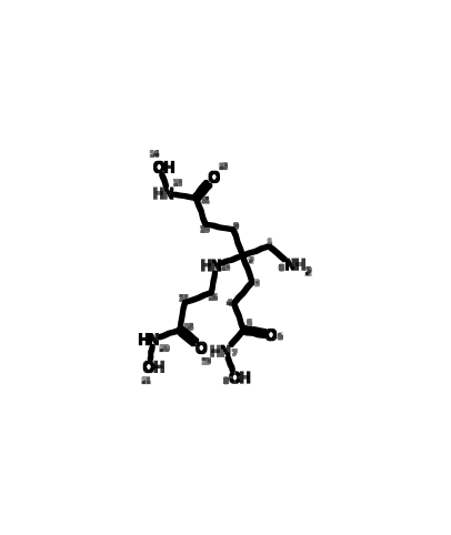 NCC(CCC(=O)NO)(CCC(=O)NO)NCCC(=O)NO